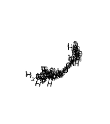 CNC(=O)c1ccccc1Nc1cc(Nc2ccc(N3CCN(CCOCCOCCNC(=O)CNc4cccc5c4C(=O)N(C4CCC(=O)NC4=O)C5=O)CC3)cc2OC)ncc1C(F)(F)F